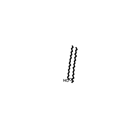 CCCCCCCCCCCCCCCCCCCC(=O)O.CCCCCCCCCCCCCCCCCCCCC